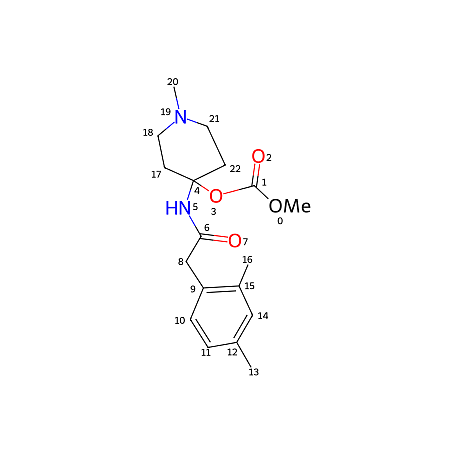 COC(=O)OC1(NC(=O)Cc2ccc(C)cc2C)CCN(C)CC1